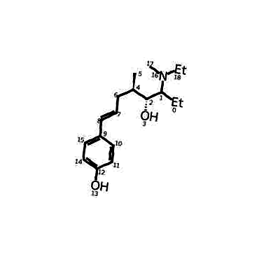 CCC([C@H](O)[C@H](C)C/C=C/c1ccc(O)cc1)N(C)CC